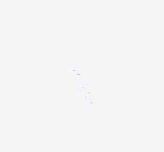 O=C(NCCCN1CCC(F)CC1)c1ccc2c(c1)sc1nc(-c3ccc([C@H]4CCCN4)cc3F)c(NCC3CC3)n12